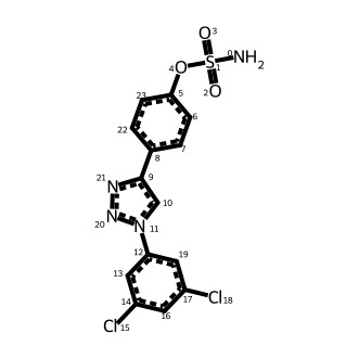 NS(=O)(=O)Oc1ccc(-c2cn(-c3cc(Cl)cc(Cl)c3)nn2)cc1